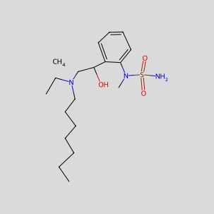 C.CCCCCCCN(CC)CC(O)c1ccccc1N(C)S(N)(=O)=O